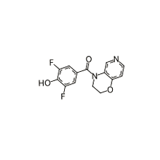 O=C(c1cc(F)c(O)c(F)c1)N1CCOc2ccncc21